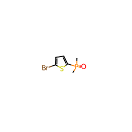 CP(C)(=O)c1ccc(Br)s1